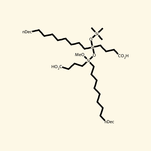 CCCCCCCCCCCCCCCCCC[Si](CCCC(=O)O)(OC)O[Si](CCCCCCCCCCCCCCCCCC)(CCCC(=O)O)O[Si](C)(C)C